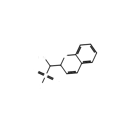 NC(C1C=Cc2ccccc2O1)S(=O)(=O)O